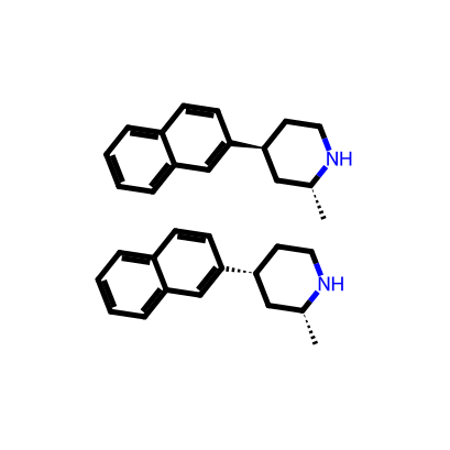 C[C@@H]1C[C@@H](c2ccc3ccccc3c2)CCN1.C[C@@H]1C[C@H](c2ccc3ccccc3c2)CCN1